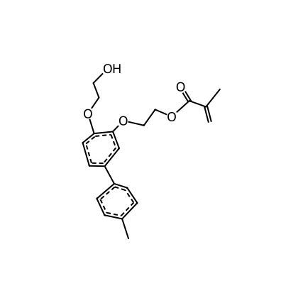 C=C(C)C(=O)OCCOc1cc(-c2ccc(C)cc2)ccc1OCCO